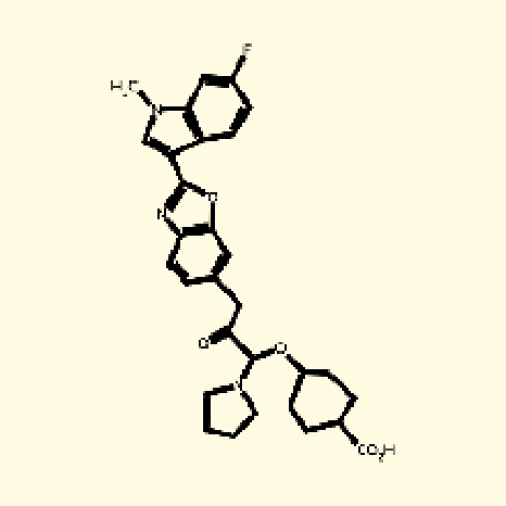 Cn1cc(-c2nc3ccc(CC(=O)C(OC4CCC(C(=O)O)CC4)N4CCCC4)cc3o2)c2ccc(F)cc21